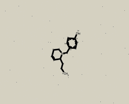 CCCC1C=CCCN1Cc1ccc(O)cc1